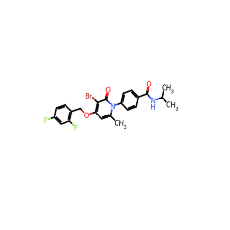 Cc1cc(OCc2ccc(F)cc2F)c(Br)c(=O)n1-c1ccc(C(=O)NC(C)C)cc1